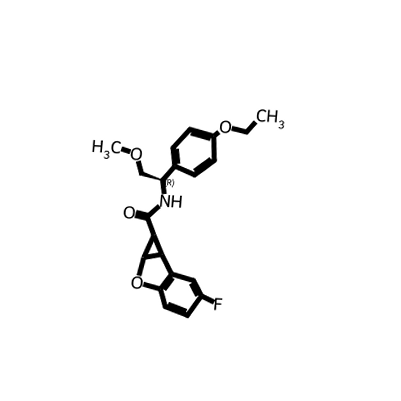 CCOc1ccc([C@H](COC)NC(=O)C2C3Oc4ccc(F)cc4C32)cc1